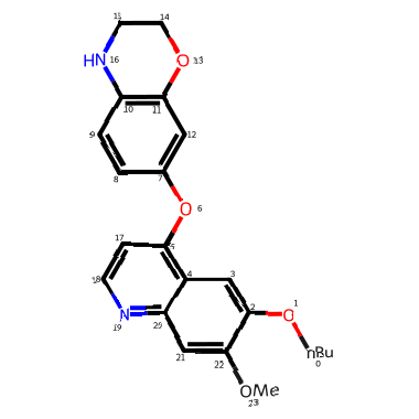 CCCCOc1cc2c(Oc3ccc4c(c3)OCCN4)ccnc2cc1OC